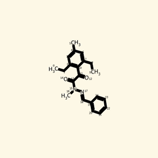 CCc1cc(C)cc(CC)c1C(=O)C(=O)N(C)/N=C/c1ccccc1